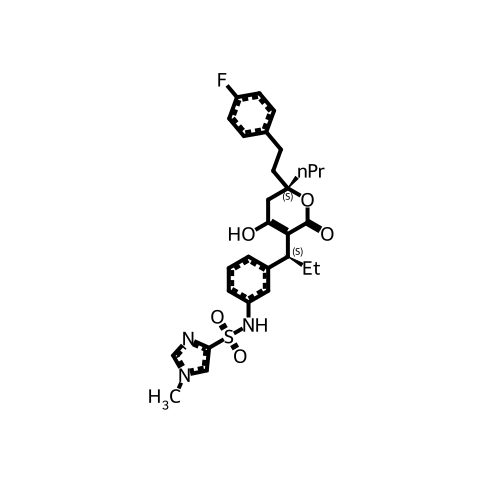 CCC[C@]1(CCc2ccc(F)cc2)CC(O)=C([C@@H](CC)c2cccc(NS(=O)(=O)c3cn(C)cn3)c2)C(=O)O1